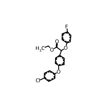 CCOC(=O)C(Oc1ccc(F)cc1)c1ccc(Oc2ccc(Cl)cc2)cc1